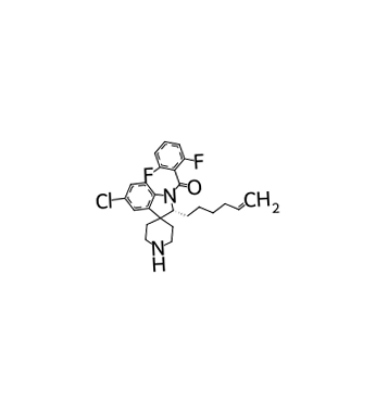 C=CCCCC[C@H]1N(C(=O)c2c(F)cccc2F)c2ccc(Cl)cc2C12CCNCC2